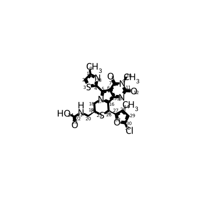 Cc1csc(-c2c3c(=O)n(C)c(=O)n(C)c3c3n2C[C@H](CNC(=O)O)S[C@@H]3c2ccc(Cl)o2)n1